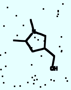 CC1CC(CO)CN1C